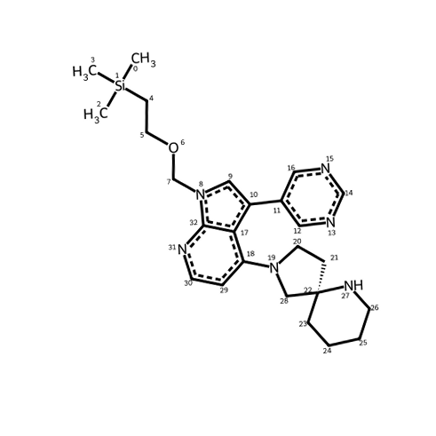 C[Si](C)(C)CCOCn1cc(-c2cncnc2)c2c(N3CC[C@]4(CCCCN4)C3)ccnc21